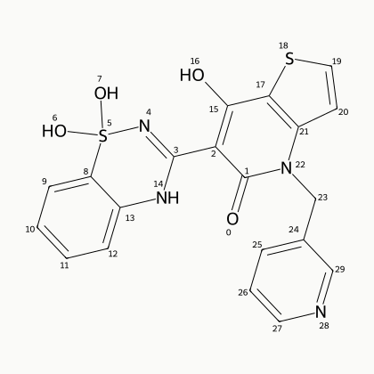 O=c1c(C2=NS(O)(O)c3ccccc3N2)c(O)c2sccc2n1Cc1cccnc1